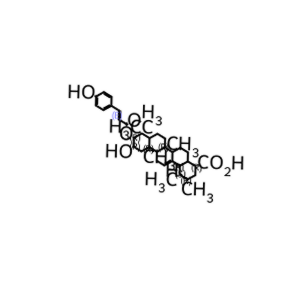 C[C@H]1[C@H](C)C[C@@H](C(=O)O)C2CCC3C(=CCC4[C@@]3(C)CCC3C(C)(C)[C@@H](OC(=O)/C=C/c5ccc(O)cc5)[C@H](O)C[C@@]34C)[C@@H]21